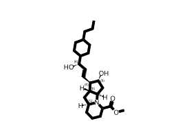 CCCC1CCC([C@@H](O)/C=C/[C@@H]2[C@H]3C[C@@H]4CCCC(C(=O)OC)N4[C@@H]3C[C@H]2O)CC1